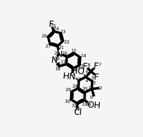 CC1(C)C[C@](O)(C(F)(F)F)[C@@H](Nc2cccc3c2cnn3-c2ccc(F)cc2)c2ccc(Cl)c(O)c21